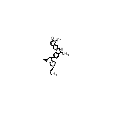 CC=CN1CCN([C@@H](CC2CC2)c2ccc([C@H](C)Nc3cc4c(ccc(=O)n4C(C)C)cn3)cc2)CC1